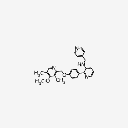 COc1c(C)cnc(COc2ccc(-c3ncccc3NCc3ccncc3)cc2)c1C